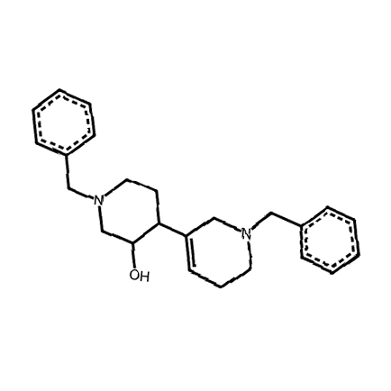 OC1CN(Cc2ccccc2)CCC1C1=CCCN(Cc2ccccc2)C1